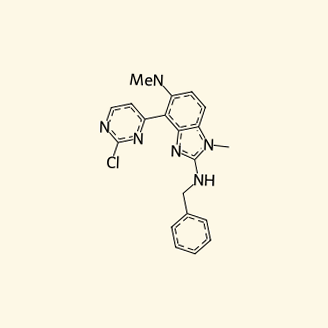 CNc1ccc2c(nc(NCc3ccccc3)n2C)c1-c1ccnc(Cl)n1